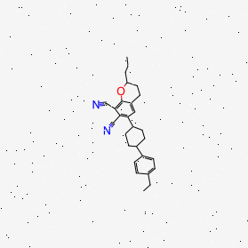 CCCC1CCc2cc(C3CCC(c4ccc(CC)cc4)CC3)c(C#N)c(C#N)c2O1